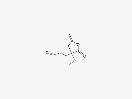 C=C1CC(CC)(CCC=O)C(=O)O1